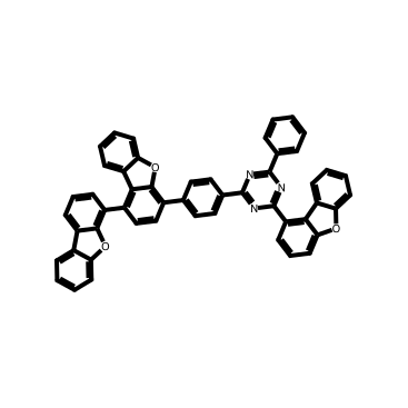 c1ccc(-c2nc(-c3ccc(-c4ccc(-c5cccc6c5oc5ccccc56)c5c4oc4ccccc45)cc3)nc(-c3cccc4oc5ccccc5c34)n2)cc1